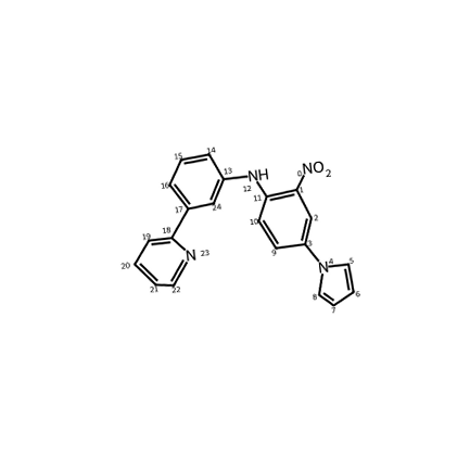 O=[N+]([O-])c1cc(-n2cccc2)ccc1Nc1cccc(-c2ccccn2)c1